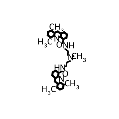 Cc1ccc(C)c2nc3c(C(=O)NCCCN(C)CCCNC(=O)c4cccc5cc6c(C)ccc(C)c6nc45)cccc3cc12